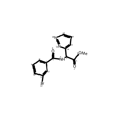 COC(=O)C(NC(=O)c1cccc(Br)c1)c1cccnn1